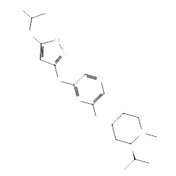 CC(C)[C@H]1C[C@H](Oc2cncc(Nc3cc(OC(F)F)[nH]n3)n2)CCN1C